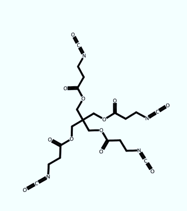 O=C=NCCC(=O)OCC(COC(=O)CCN=C=O)(COC(=O)CCN=C=O)COC(=O)CCN=C=O